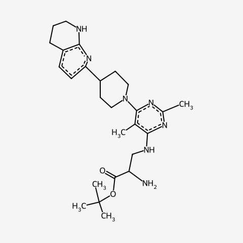 Cc1nc(NCC(N)C(=O)OC(C)(C)C)c(C)c(N2CCC(c3ccc4c(n3)NCCC4)CC2)n1